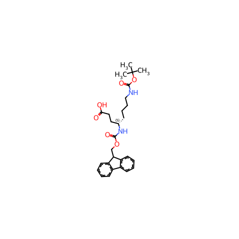 CC(C)(C)OC(=O)NCCCC[C@@H](CCC(=O)O)NC(=O)OCC1c2ccccc2-c2ccccc21